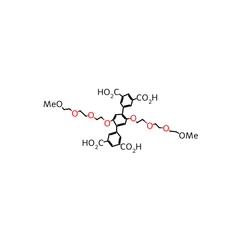 COCCOCCOCCOc1cc(-c2cc(C(=O)O)cc(C(=O)O)c2)c(OCCOCCOCCOC)cc1-c1cc(C(=O)O)cc(C(=O)O)c1